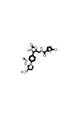 NC1CCN(c2ccc(C3NC(=O)OC3CNC(=O)c3ccc(Cl)s3)cc2[N+](=O)[O-])C1